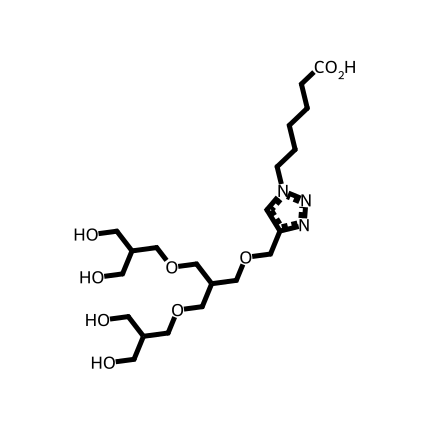 O=C(O)CCCCCn1cc(COCC(COCC(CO)CO)COCC(CO)CO)nn1